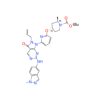 C=CCn1c(=O)c2cnc(Nc3ccc4c(cnn4C)c3)nc2n1-c1cccc(O[C@H]2CCN(C(=O)OC(C)(C)C)[C@H](C)C2)n1